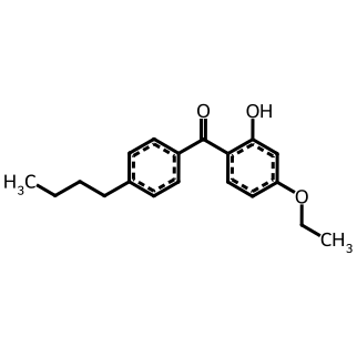 CCCCc1ccc(C(=O)c2ccc(OCC)cc2O)cc1